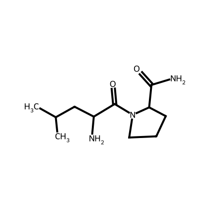 CC(C)CC(N)C(=O)N1CCCC1C(N)=O